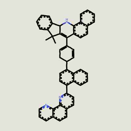 CC1(C)C2=C(C3=CCC(c4ccc(-c5ccc6ccc7cccnc7c6n5)c5ccccc45)C=C3)c3ccc4ccccc4c3NC2c2ccccc21